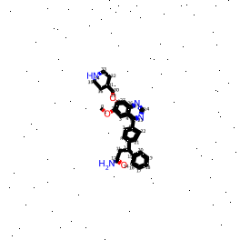 COc1cc2c(-c3ccc(C(CC(N)=O)c4ccccc4)cc3)ncnc2cc1OCC1CCNCC1